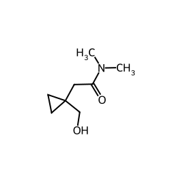 CN(C)C(=O)CC1(CO)CC1